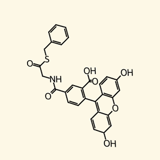 O=C(CNC(=O)c1ccc(C2=C3C=CC(O)C=C3Oc3cc(O)ccc32)c(C(=O)O)c1)SCc1ccccc1